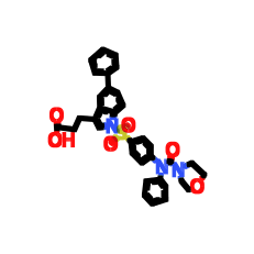 O=C(O)CCc1cn(S(=O)(=O)c2ccc(N(C(=O)N3CCOCC3)c3ccccc3)cc2)c2ccc(-c3ccccc3)cc12